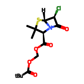 CC(C)(C)C(=O)OCOC(=O)[C@@H]1N2C(=O)[C@H](Cl)[C@H]2SC1(C)C